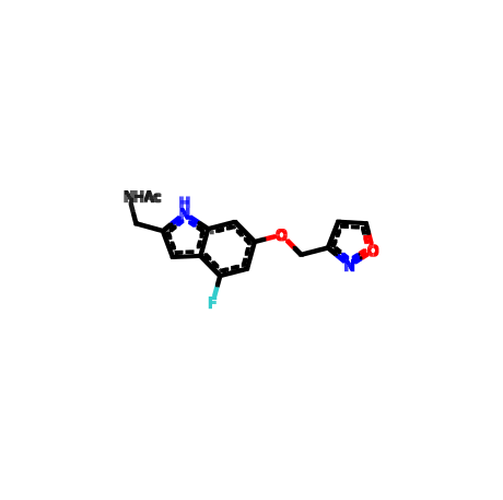 CC(=O)NCc1cc2c(F)cc(OCc3ccon3)cc2[nH]1